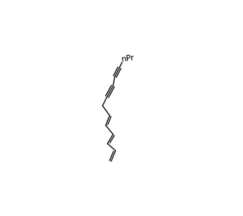 C=C/C=C/C=C/CC#CC#CCCC